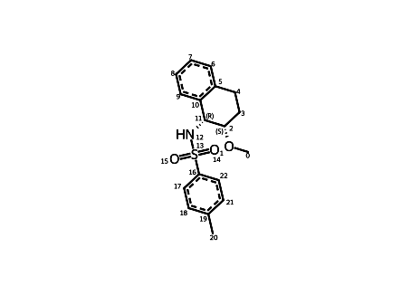 CO[C@H]1CCc2ccccc2[C@H]1NS(=O)(=O)c1ccc(C)cc1